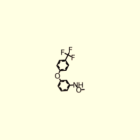 CONc1cccc(Oc2ccc(C(F)(F)F)cc2)c1